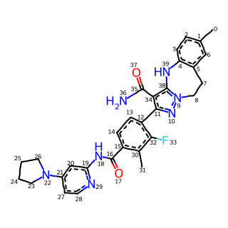 Cc1ccc2c(c1)CCn1nc(-c3ccc(C(=O)Nc4cc(N5CCCC5)ccn4)c(C)c3F)c(C(N)=O)c1N2